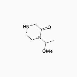 COC(C)N1CCNCC1=O